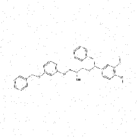 COc1ccc(C(Cc2ccccc2)NC[C@H](O)COc2cccc(OCc3ccccc3)c2)cc1OC